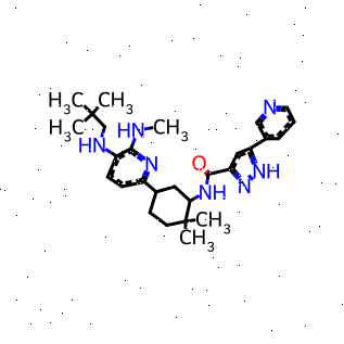 CNc1nc(C2CCC(C)(C)C(NC(=O)c3cc(-c4cccnc4)[nH]n3)C2)ccc1NCC(C)(C)C